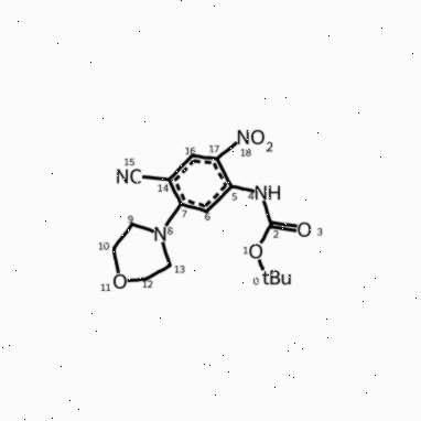 CC(C)(C)OC(=O)Nc1cc(N2CCOCC2)c(C#N)cc1[N+](=O)[O-]